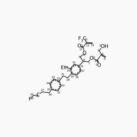 C=C(CO)C(=O)OCC(COC(=O)C(=C)C(F)(F)F)c1ccc(CCc2ccc(CCCCF)cc2)c(CC)c1